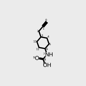 C#CCC1CCC(NC(=O)O)CC1